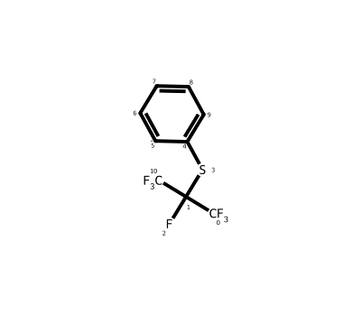 FC(F)(F)C(F)(Sc1[c]cccc1)C(F)(F)F